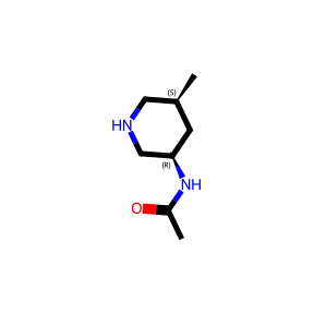 CC(=O)N[C@H]1CNC[C@@H](C)C1